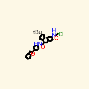 CC(C)(C)c1ccc(C(Cc2ccc(NC(=O)CCl)cc2)C(=O)Nc2ccc(-c3cc4ccccc4o3)cc2)cc1